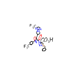 O=C(N[C@@H](CSCc1ccccc1)C(=O)O)c1nc(-c2ccc(C(F)(F)F)cc2)oc1C1CCN(c2nccc(C(F)(F)F)n2)CC1